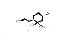 C=CCN1CC[C@H](C#N)C[C@@]1(C)C(=O)OCC